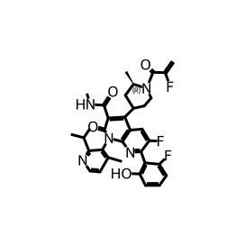 C=C(F)C(=O)N1CCC(c2c(C(=O)NC)c(=O)n(-c3c(C)ccnc3C(C)C)c3nc(-c4c(O)cccc4F)c(F)cc23)C[C@H]1C